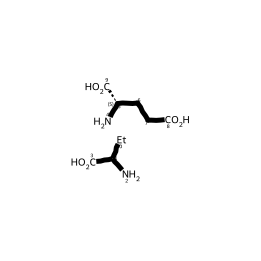 CCC(N)C(=O)O.N[C@@H](CCC(=O)O)C(=O)O